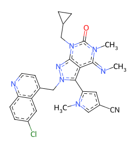 C/N=c1/c2c(-c3cc(C#N)cn3C)n(Cc3ccnc4ccc(Cl)cc34)nc2n(CC2CC2)c(=O)n1C